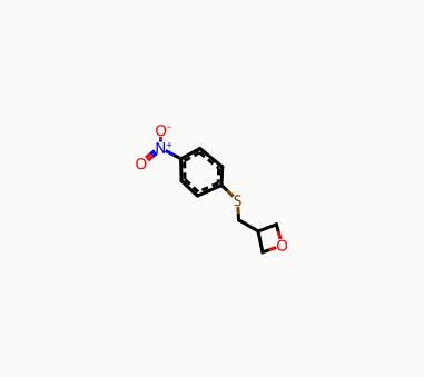 O=[N+]([O-])c1ccc(SCC2COC2)cc1